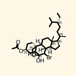 CC[C@H](CC[C@@H](C)[C@H]1CC[C@H]2[C@@H]3C(Br)[C@]4(O)O[C@H](C)[C@@]5(CC[C@H](OC(C)=O)C[C@@]54O)[C@H]3CC[C@]12C)C(C)C